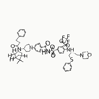 C[C@@H]1[C@@H](N(C(=O)CCc2ccccc2)C2CCN(c3ccc(C(=O)NS(=O)(=O)c4ccc(N[C@H](CCN5CCOCC5)CSc5ccccc5)c(S(=O)(=O)C(F)(F)F)c4)cc3)CC2)C[C@H]2C[C@@H]1C2(C)C